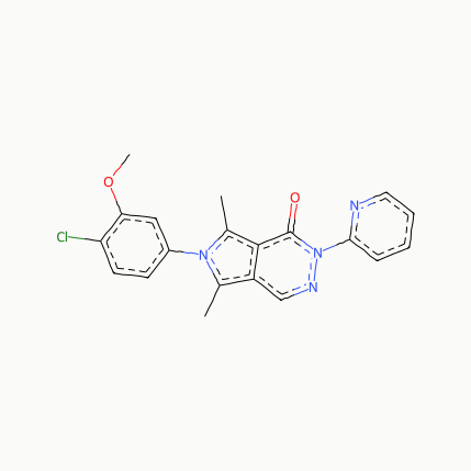 COc1cc(-n2c(C)c3cnn(-c4ccccn4)c(=O)c3c2C)ccc1Cl